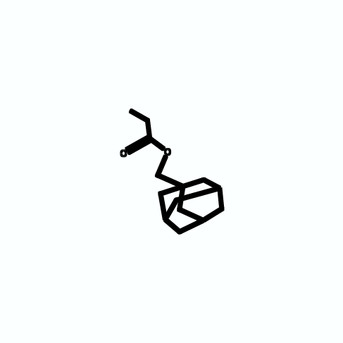 CCC(=O)OCC12CC3CC(CC(C3)C1)C2